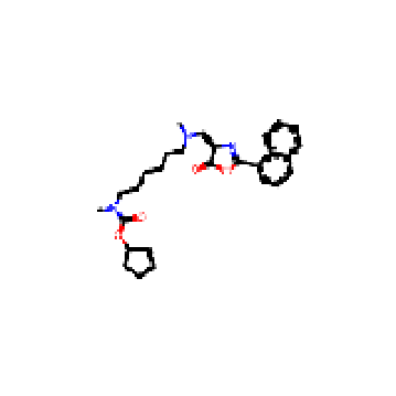 CN(/C=C1/N=C(c2cccc3ccccc23)OC1=O)CCCCCCN(C)C(=O)OC1CCCC1